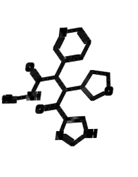 CC(C)(C)NC(=O)C(c1cccnc1)C(C(=O)c1c[nH]cn1)C1CCOC1